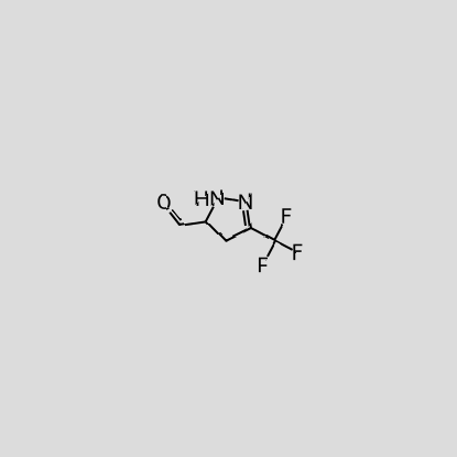 O=CC1CC(C(F)(F)F)=NN1